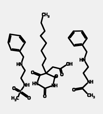 CC(=O)NCCNCc1ccccc1.CCCCCCCCC1(CC(=O)O)C(=O)NC(=O)NC1=O.CS(=O)(=O)NCCNCc1ccccc1